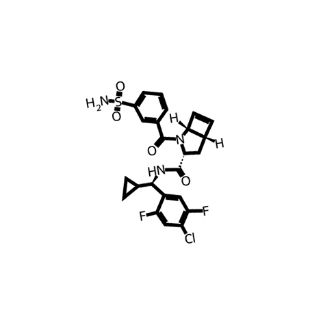 NS(=O)(=O)c1cccc(C(=O)N2[C@@H](C(=O)N[C@@H](c3cc(F)c(Cl)cc3F)C3CC3)C[C@H]3C=C[C@H]32)c1